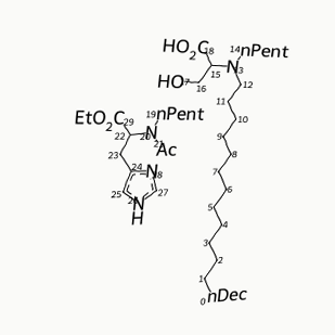 CCCCCCCCCCCCCCCCCCCCCCN(CCCCC)C(CO)C(=O)O.CCCCCN(C(C)=O)C(Cc1c[nH]cn1)C(=O)OCC